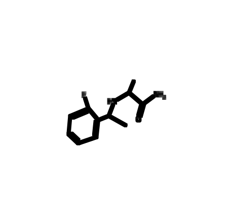 CC(NC(C)c1ccccc1F)C(N)=O